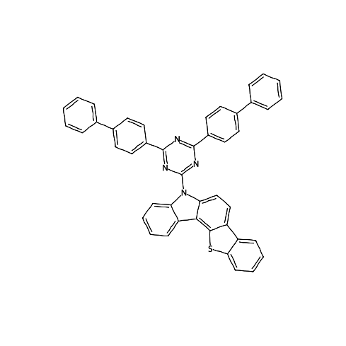 c1ccc(-c2ccc(-c3nc(-c4ccc(-c5ccccc5)cc4)nc(-n4c5ccccc5c5c6sc7ccccc7c6ccc54)n3)cc2)cc1